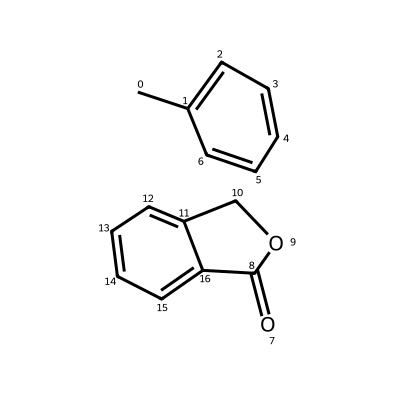 Cc1ccccc1.O=C1OCc2ccccc21